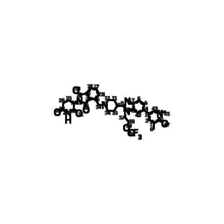 Cc1cc(-c2ccc3nc(C4CCN(Cc5cccc6c5C(=O)N(C5CCC(=O)NC5=O)C6=O)CC4)n(CCOC(F)(F)F)c3c2)cn(C)c1=O